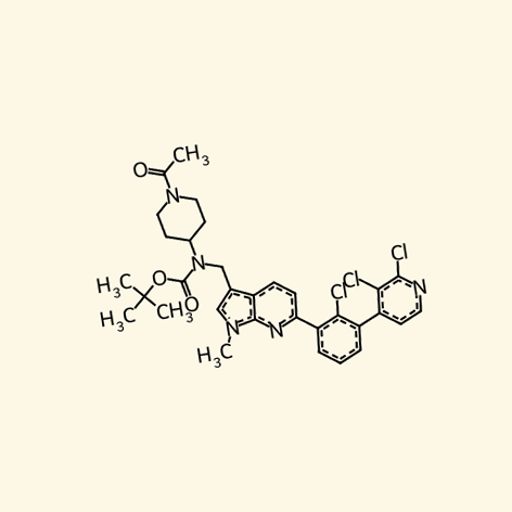 CC(=O)N1CCC(N(Cc2cn(C)c3nc(-c4cccc(-c5ccnc(Cl)c5Cl)c4Cl)ccc23)C(=O)OC(C)(C)C)CC1